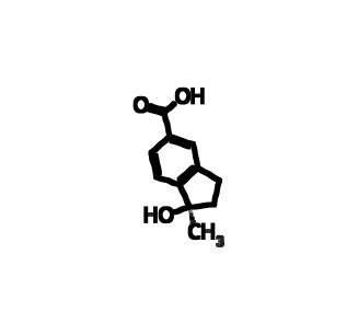 C[C@@]1(O)CCc2cc(C(=O)O)ccc21